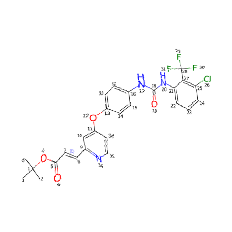 CC(C)(C)OC(=O)/C=C/c1cc(Oc2ccc(NC(=O)Nc3cccc(Cl)c3C(F)(F)F)cc2)ccn1